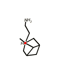 CN1CC2CC(C1)C2NCCN